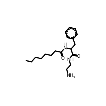 CCCCCCCC(=O)NC(Cc1ccccc1)C(=O)NCCN